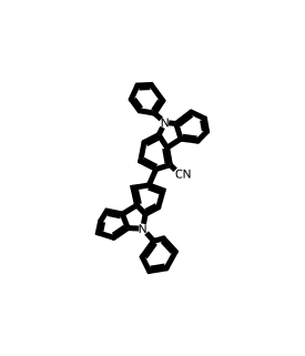 N#Cc1c(-c2ccc3c(c2)c2ccccc2n3-c2ccccc2)ccc2c1c1ccccc1n2-c1ccccc1